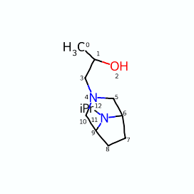 CC(O)CN1CC2CCC(C1)N2C(C)C